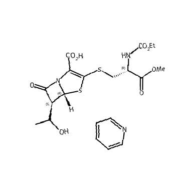 CCOC(=O)N[C@@H](CSC1=C(C(=O)O)N2C(=O)[C@H](C(C)O)[C@H]2S1)C(=O)OC.c1ccncc1